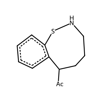 CC(=O)C1CCCNSc2ccccc21